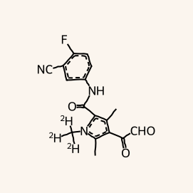 [2H]C([2H])([2H])n1c(C)c(C(=O)C=O)c(C)c1C(=O)Nc1ccc(F)c(C#N)c1